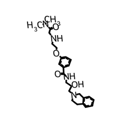 CN(C)C(=O)CNCCOc1cccc(C(=O)NCC(O)CN2CCc3ccccc3C2)c1